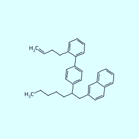 C=CCCc1ccccc1-c1ccc(C(CCCCC)Cc2ccc3ccccc3c2)cc1